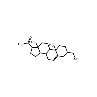 CC(=O)C1CCC2C3CC=C4CC(CO)CCC4(C)C3CCC12C